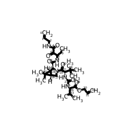 C=CCNC(=O)C(=O)C(CC)NC(=O)[C@@H]1[C@@H]2[C@H](CN1C(=O)[C@@H](NC(=O)N[C@H](C(=O)OCC=C)C(C)C)C(C)(C)C)C2(C)C